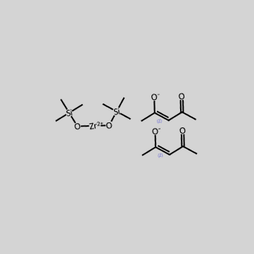 CC(=O)/C=C(/C)[O-].CC(=O)/C=C(/C)[O-].C[Si](C)(C)[O][Zr+2][O][Si](C)(C)C